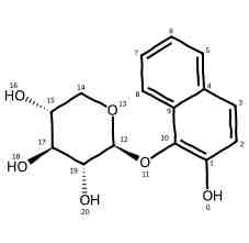 Oc1ccc2ccccc2c1O[C@@H]1OC[C@@H](O)[C@H](O)[C@H]1O